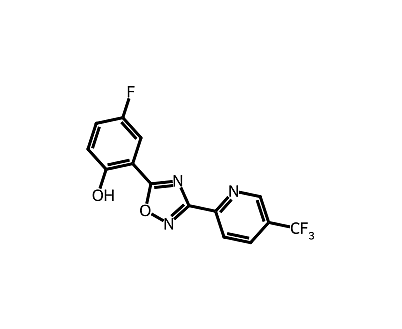 Oc1ccc(F)cc1-c1nc(-c2ccc(C(F)(F)F)cn2)no1